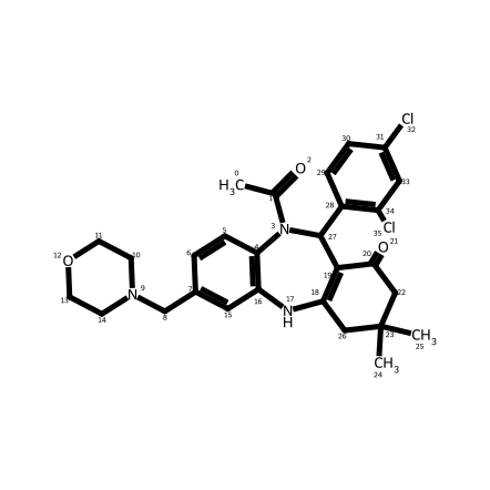 CC(=O)N1c2ccc(CN3CCOCC3)cc2NC2=C(C(=O)CC(C)(C)C2)C1c1ccc(Cl)cc1Cl